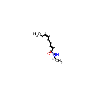 CC/C=C\CC/C=C/C(=O)NCC